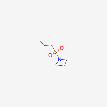 CCCS(=O)(=O)N1CCC1